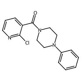 O=C(c1cccnc1Cl)N1CCN(c2ccccc2)CC1